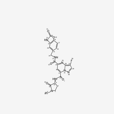 CC(C)N1CC[C@H](NC(=O)c2cc(C(=O)NCc3ccc4oc(=O)[nH]c4c3)nc3c(F)cnn23)C1=O